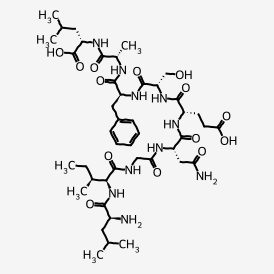 CC[C@H](C)[C@H](NC(=O)[C@@H](N)CC(C)C)C(=O)NCC(=O)N[C@@H](CC(N)=O)C(=O)N[C@@H](CCC(=O)O)C(=O)N[C@@H](CO)C(=O)N[C@@H](Cc1ccccc1)C(=O)N[C@@H](C)C(=O)N[C@@H](CC(C)C)C(=O)O